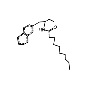 CCCCCCCCCC(=O)N[C@H](CC)Cc1ccc2ccccc2c1